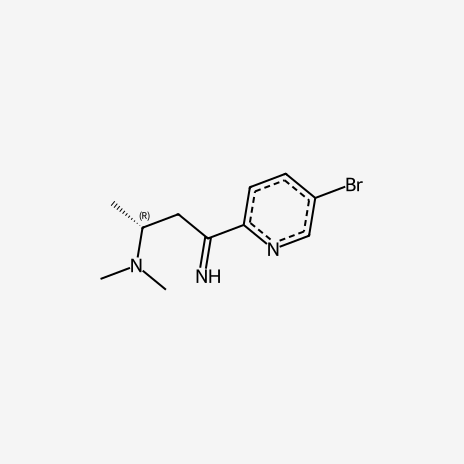 C[C@H](CC(=N)c1ccc(Br)cn1)N(C)C